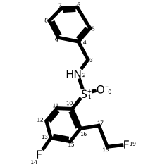 [O-][S+](NCc1ccccc1)c1ccc(F)cc1CCF